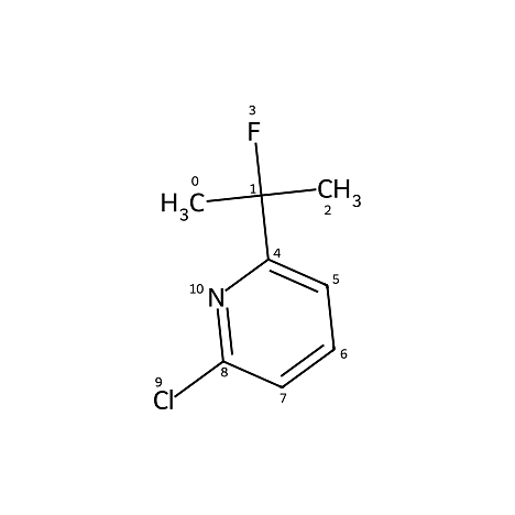 CC(C)(F)c1cccc(Cl)n1